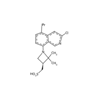 CC(C)c1ccc(N2C[C@H](CS(=O)(=O)O)C2(C)C)c2cnc(Cl)cc12